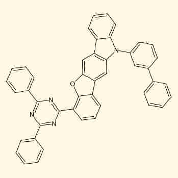 c1ccc(-c2cccc(-n3c4ccccc4c4cc5oc6c(-c7nc(-c8ccccc8)nc(-c8ccccc8)n7)cccc6c5cc43)c2)cc1